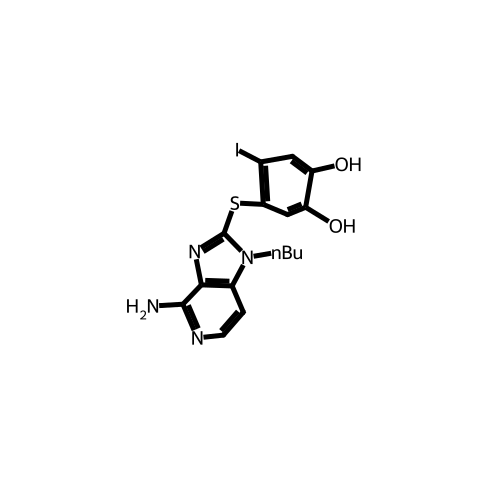 CCCCn1c(Sc2cc(O)c(O)cc2I)nc2c(N)nccc21